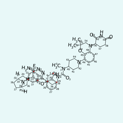 CN(C(=O)N1CCC(Oc2cc(F)cc(N3[C@@H]4CC[C@H]3CN(c3cc(-c5ccccc5O)nnc3N)C4)c2)CC1)C1CCN(c2cccc3c2OC(C)(C)CN3C2CCC(=O)NC2=O)CC1